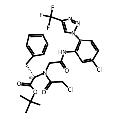 CC(C)(C)OC(=O)[C@H](Cc1ccccc1)N(CC(=O)Nc1cc(Cl)ccc1-n1cc(C(F)(F)F)nn1)C(=O)CCl